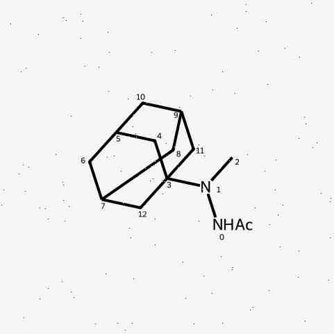 CC(=O)NN(C)C12CC3CC(CC(C3)C1)C2